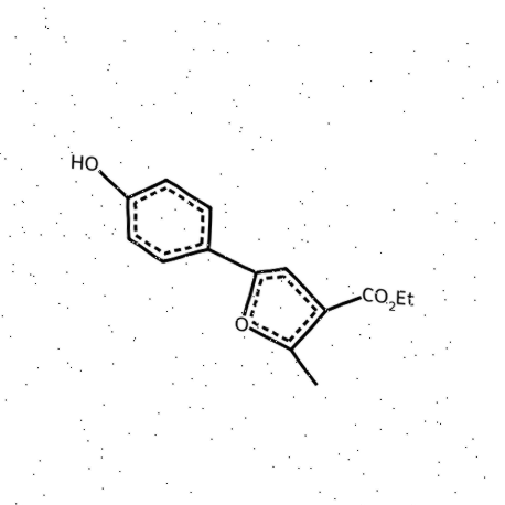 CCOC(=O)c1cc(-c2ccc(O)cc2)oc1C